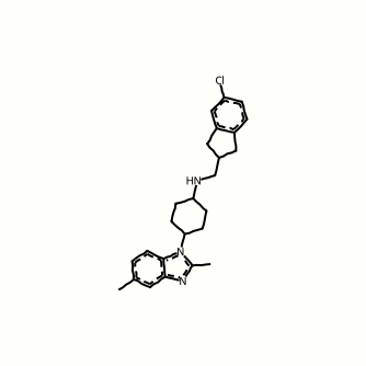 Cc1ccc2c(c1)nc(C)n2C1CCC(NCC2Cc3ccc(Cl)cc3C2)CC1